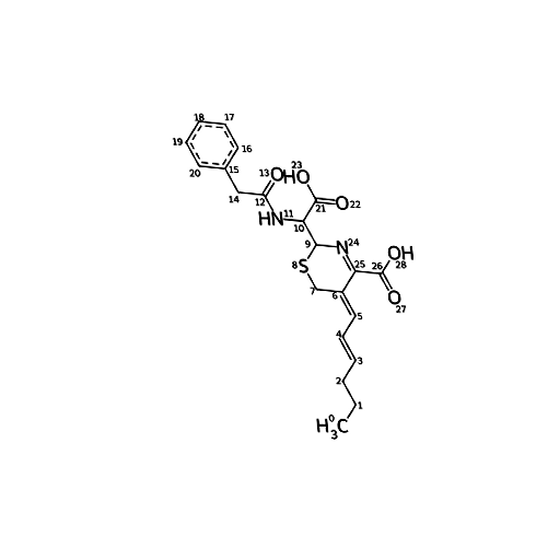 CCC/C=C/C=C1\CSC(C(NC(=O)Cc2ccccc2)C(=O)O)N=C1C(=O)O